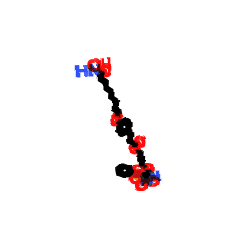 O=C(CCCCCCCCOc1ccc(C=CC(=O)OCC#CCOc2no[n+]([O-])c2S(=O)(=O)c2ccccc2)cc1)NO